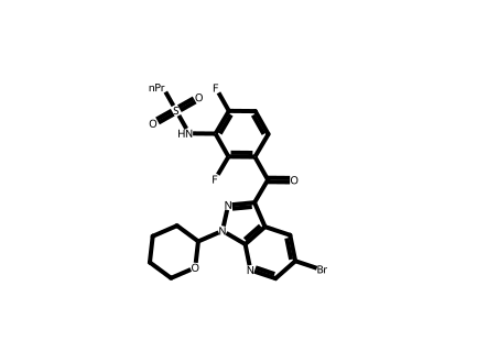 CCCS(=O)(=O)Nc1c(F)ccc(C(=O)c2nn(C3CCCCO3)c3ncc(Br)cc23)c1F